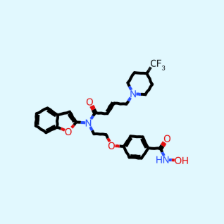 O=C(NO)c1ccc(OCCN(C(=O)C=CCN2CCC(C(F)(F)F)CC2)c2cc3ccccc3o2)cc1